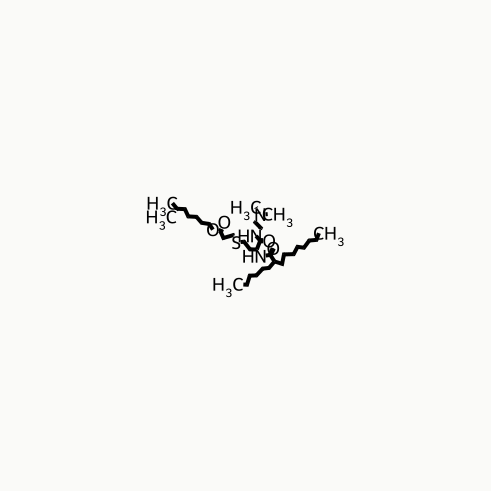 CCCCCCCCC(CCCCCC)C(=O)NC(CCSCCC(=O)OCCCCCC(C)C)C(=O)NCCN(C)C